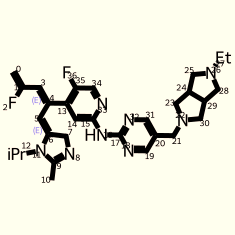 C=C(F)/C=C(\C=C1/CN=C(C)N1C(C)C)c1cc(Nc2ncc(CN3CC4CN(CC)CC4C3)cn2)ncc1F